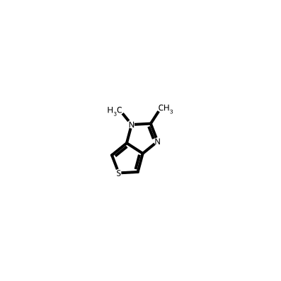 Cc1nc2cscc2n1C